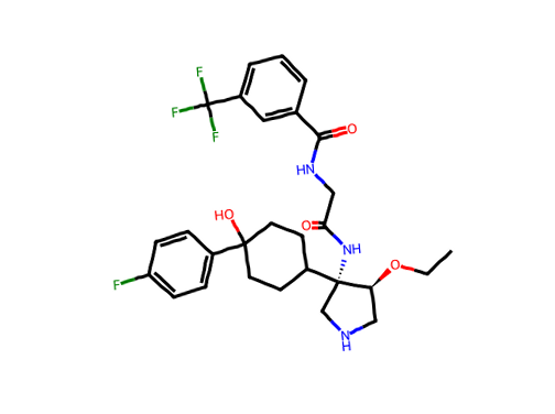 CCO[C@H]1CNC[C@@]1(NC(=O)CNC(=O)c1cccc(C(F)(F)F)c1)C1CCC(O)(c2ccc(F)cc2)CC1